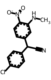 CNc1cc(C(C#N)c2ccc(Cl)cc2)ccc1[N+](=O)[O-]